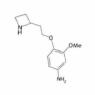 COc1cc(N)ccc1OCCC1CCN1